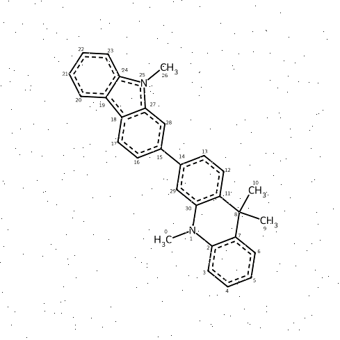 CN1c2ccccc2C(C)(C)c2ccc(-c3ccc4c5ccccc5n(C)c4c3)cc21